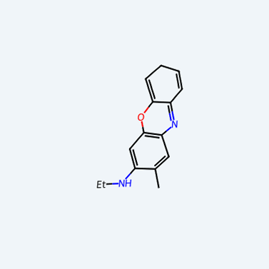 CCNc1cc2c(cc1C)N=C1C=CCC=C1O2